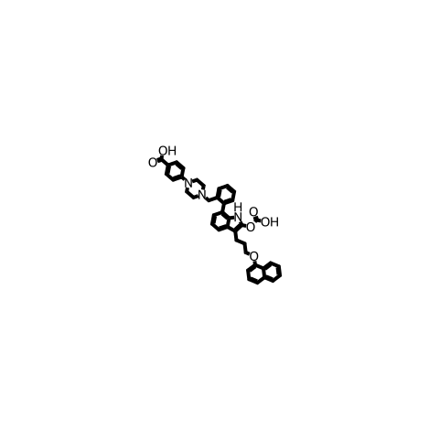 O=C(O)Oc1[nH]c2c(-c3ccccc3CN3CCN(c4ccc(C(=O)O)cc4)CC3)cccc2c1CCCOc1cccc2ccccc12